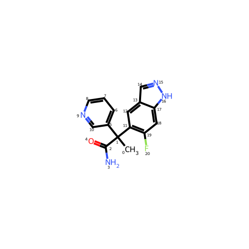 CC(C(N)=O)(c1cccnc1)c1cc2cn[nH]c2cc1F